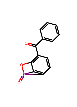 O=C(c1ccccc1)c1ccc2c3c1OP23=O